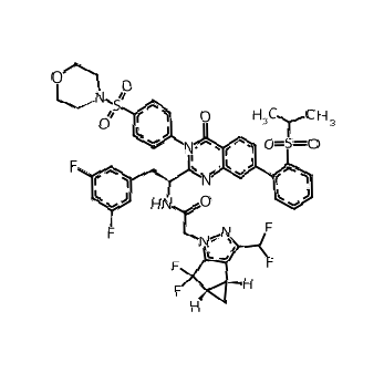 CC(C)S(=O)(=O)c1ccccc1-c1ccc2c(=O)n(-c3ccc(S(=O)(=O)N4CCOCC4)cc3)c([C@H](Cc3cc(F)cc(F)c3)NC(=O)Cn3nc(C(F)F)c4c3C(F)(F)[C@H]3C[C@@H]43)nc2c1